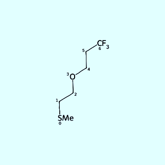 CSCCOCCC(F)(F)F